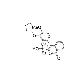 CCC(C)(O)c1oc(=O)c2ccccc2c1-c1ccc(OC)c(OC2CCCC2)c1